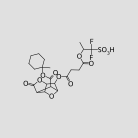 CC(OC(=O)CCC(=O)OC1C2OC(=O)C3C2OC1C3C(=O)OC1(C)CCCCC1)C(F)(F)S(=O)(=O)O